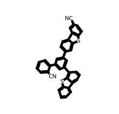 N#Cc1ccc2sc3cc(-c4cc(-c5ccccc5C#N)cc(-c5cccc6c5sc5ccccc56)c4)ccc3c2c1